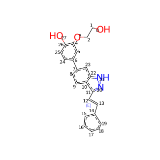 OCCOc1cc(-c2ccc3c(/C=C/c4ccccc4)n[nH]c3c2)ccc1O